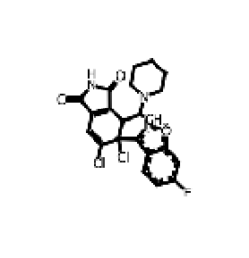 CC(C1C2=C(C=C(Cl)C1(Cl)c1noc3cc(F)ccc13)C(=O)NC2=O)N1CCCCC1